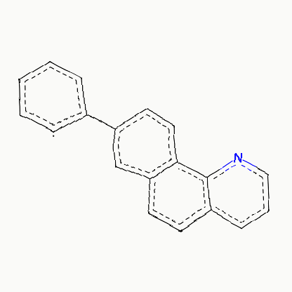 [c]1ccccc1-c1ccc2c(ccc3cccnc32)c1